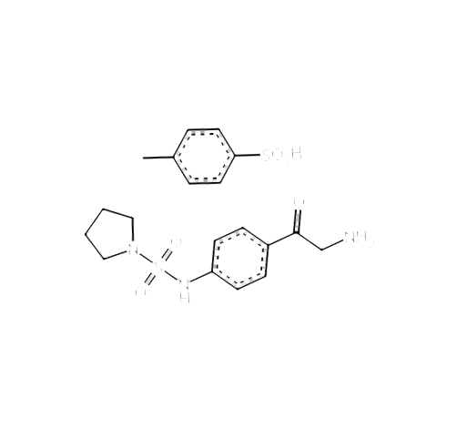 Cc1ccc(S(=O)(=O)O)cc1.NCC(=O)c1ccc(NS(=O)(=O)N2CCCC2)cc1